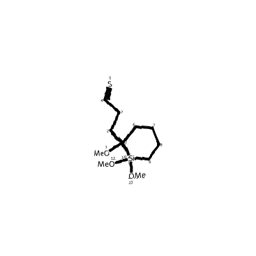 COC1(CCC=S)CCCC[Si]1(OC)OC